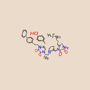 CBCCC[C@H]1CNC(=O)C(=O)N1C[C@@H]1CCCN1CC(CCC)N1C[C@@H](Cc2ccc(O)cc2)N(CCc2ccc(-c3ccccc3)cc2)C(=O)C1=O